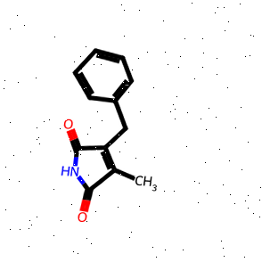 CC1=C(Cc2ccccc2)C(=O)NC1=O